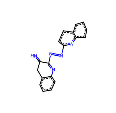 N=C1Cc2ccccc2N=C1N=Nc1ccc2ccccc2n1